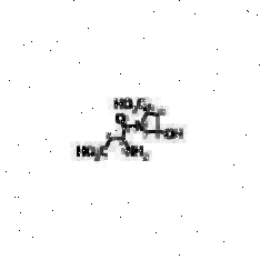 NC(CC(=O)O)C(=O)N1CC(O)CC1C(=O)O